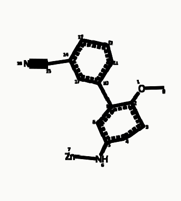 COc1ccc([NH][Zn])cc1-c1cccc(C#N)c1